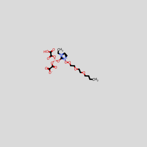 CCCCOCCOCCOO[n+]1ccn(CC)c1OB(OC(=O)C(=O)[O-])OC(=O)C(=O)O